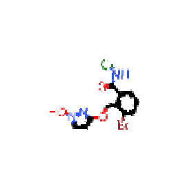 O=C(NCl)c1cccc(Br)c1COc1ccn(O)n1